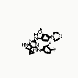 COc1cc(N2CCOCC2)ccc1Nc1nc2c(c(Nc3ccc(F)c(F)c3)n1)C1(CC1)CN2